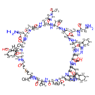 CCCC[C@H]1C(=O)N(C)[C@@H](CCCC)C(=O)N[C@@H](C)C(=O)N[C@H](C=O)CSCC(=O)N[C@@H](Cc2ccc(O)cc2)C(=O)N(C)[C@@H](C)C(=O)N[C@@H](CC(N)=O)C(=O)N2CCC[C@H]2C(=O)N[C@@H](Cc2cn(C(=O)C(F)(F)F)cn2)C(=O)N[C@@H](CC(C)C)C(=O)N[C@@H](CCCNC(=O)CN)C(=O)N[C@@H](Cc2c[nH]c3ccccc23)C(=O)N[C@@H](CO)C(=O)N[C@@H](Cc2c[nH]c3ccccc23)C(=O)N1C